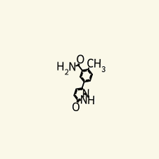 Cc1ccc(-c2ccc(=O)[nH]n2)cc1C(N)=O